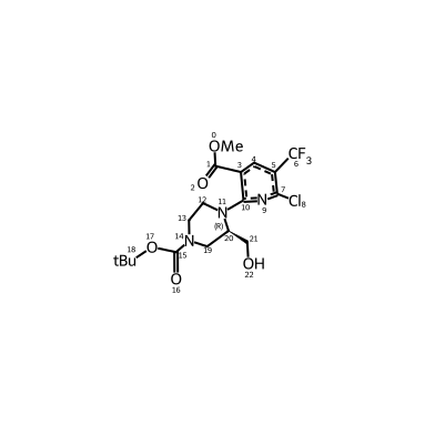 COC(=O)c1cc(C(F)(F)F)c(Cl)nc1N1CCN(C(=O)OC(C)(C)C)C[C@@H]1CO